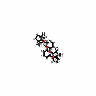 O=C1NC(=O)/C(=C\c2ccnc(N3C[C@H]4CC[C@@H](C3)C4CNCc3cccc(-c4ccsc4)n3)n2)S1